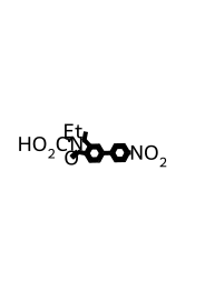 CCC(C(=O)O)N1C(=O)c2ccc(-c3ccc([N+](=O)[O-])cc3)cc2C1C